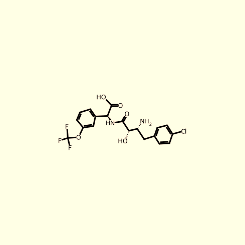 N[C@H](Cc1ccc(Cl)cc1)[C@H](O)C(=O)N[C@H](C(=O)O)c1cccc(OC(F)(F)F)c1